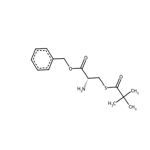 CC(C)(C)C(=O)SC[C@H](N)C(=O)OCc1ccccc1